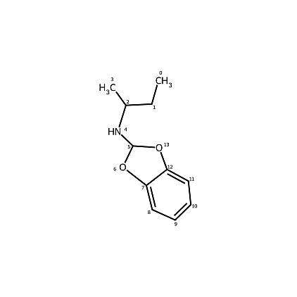 CCC(C)NC1Oc2ccccc2O1